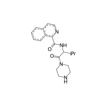 CC(C)C(NC(=O)c1nccc2ccccc12)C(=O)N1CCNCC1